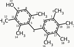 Cc1cc(Cc2c(C)cc(O)c(C)c2C)c(C)c(C)c1C